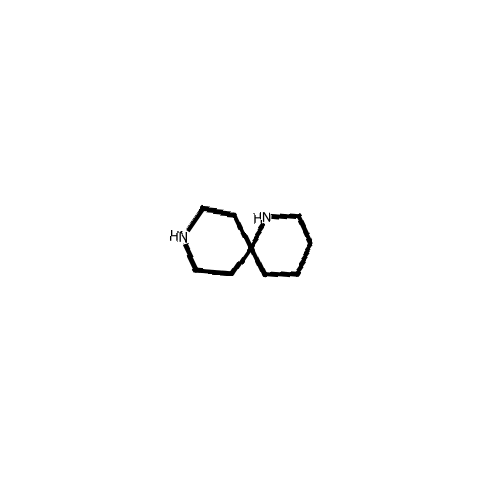 C1CCC2(CCNCC2)NC1